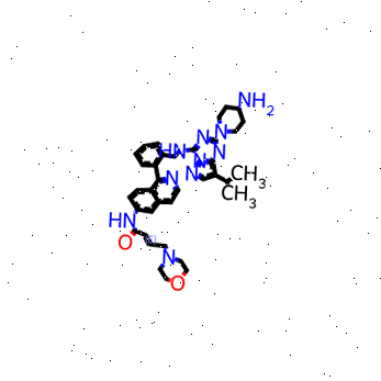 CC(C)c1cnn2c(NCc3ccccc3-c3nccc4cc(NC(=O)/C=C/CN5CCOCC5)ccc34)nc(N3CCC(N)CC3)nc12